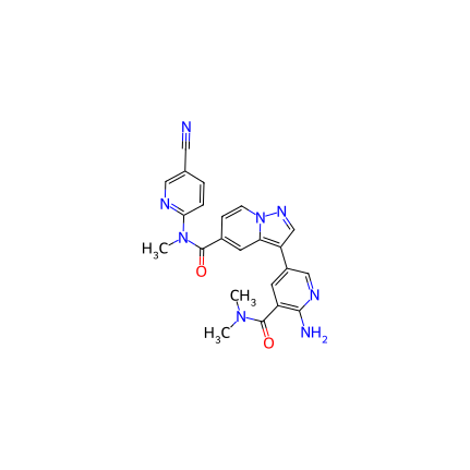 CN(C)C(=O)c1cc(-c2cnn3ccc(C(=O)N(C)c4ccc(C#N)cn4)cc23)cnc1N